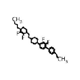 CCCCC1CC=C(CCC2CCC(c3ccc(-c4ccc(CCC)cc4)c(F)c3F)CC2)C(F)=C1F